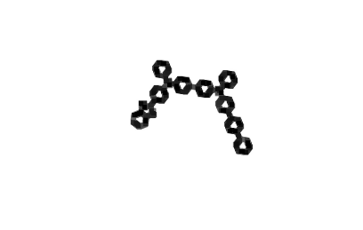 c1ccc(-c2ccc(-c3ccc(N(c4ccccc4)c4ccc(-c5ccc(N(c6ccccc6)c6ccc(-c7nc8ccccc8s7)cc6)cc5)cc4)cc3)cc2)cc1